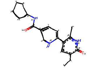 CCc1cc(C2=CC=C(C(=O)NC3CCCC3)CN2)c(C)[nH]c1=O